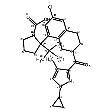 Cc1cn(C2CC2)nc1C(=O)N1CCc2cc(Cl)cc(C3(C(C)(C)C)CCCN3C(=O)O)c2C1